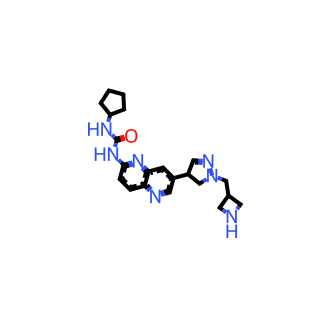 O=C(Nc1ccc2ncc(C3C=NN(CC4CNC4)C3)cc2n1)NC1CCCC1